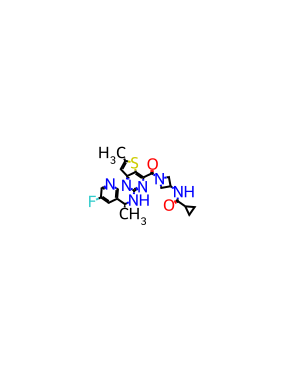 Cc1cc2nc(N[C@@H](C)c3cncc(F)c3)nc(C(=O)N3CC(NC(=O)C4CC4)C3)c2s1